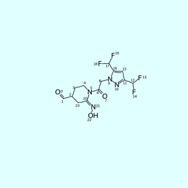 O=CC1CCN(C(=O)Cn2nc(C(F)F)cc2C(F)F)C(=NO)C1